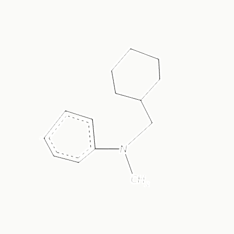 CN(CC1CCCCC1)c1cc[c]cc1